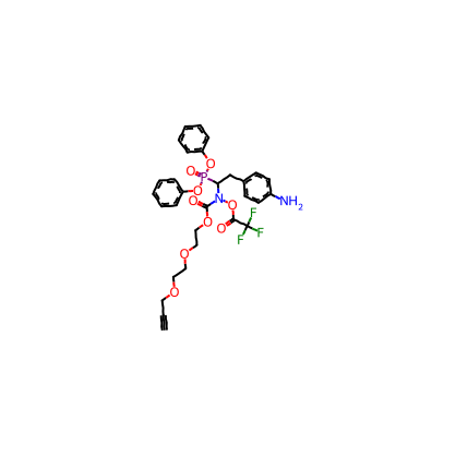 C#CCOCCOCCOC(=O)N(OC(=O)C(F)(F)F)C(Cc1ccc(N)cc1)P(=O)(Oc1ccccc1)Oc1ccccc1